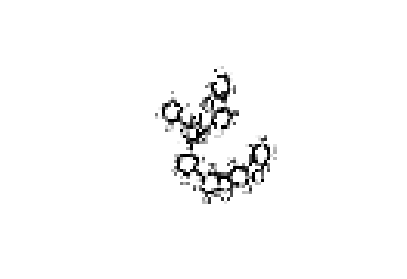 c1ccc(-c2nc(-c3cccc(-c4ccc5oc6cc7oc8ccccc8c7cc6c5c4)c3)nc(-c3cccc4c3oc3ccccc34)n2)cc1